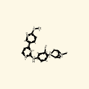 CCOc1ccc(-c2ccnc(Nc3ccc(N4CC5CC4CN5C)c(F)c3)n2)cn1